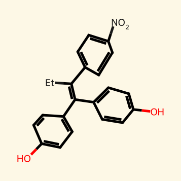 CCC(=C(c1ccc(O)cc1)c1ccc(O)cc1)c1ccc([N+](=O)[O-])cc1